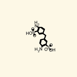 Nc1ccc(Cc2ccc(N)c(S(=O)(=O)O)c2)cc1S(=O)(=O)O